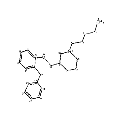 CCCCCN1CCCC(COc2ccccc2Cc2ccccc2)C1